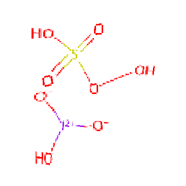 O=S(=O)(O)OO.[O-][I+2]([O-])O